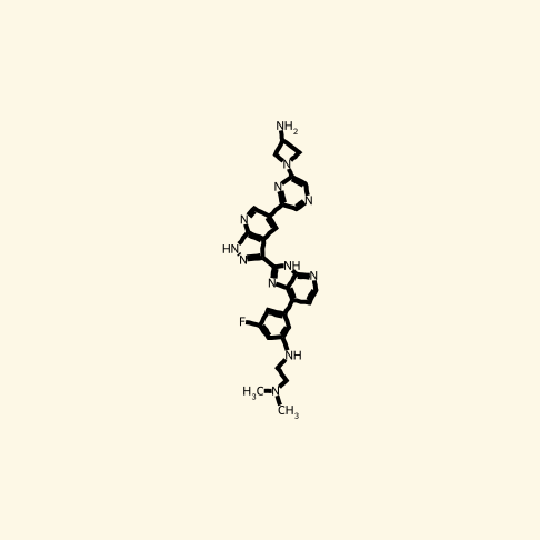 CN(C)CCNc1cc(F)cc(-c2ccnc3[nH]c(-c4n[nH]c5ncc(-c6cncc(N7CC(N)C7)n6)cc45)nc23)c1